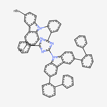 CCCCc1ccc2c(c1)c1cc(CCCC)ccc1n2-c1ccccc1-c1nc(-c2ccccc2)nc(-n2c3ccc(-c4ccccc4-c4ccccc4)cc3c3cc(-c4ccccc4-c4ccccc4)ccc32)n1